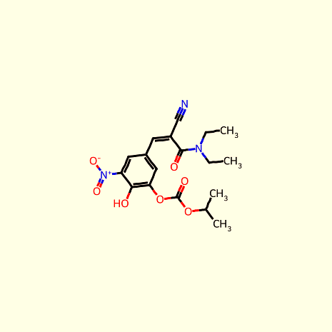 CCN(CC)C(=O)C(C#N)=Cc1cc(OC(=O)OC(C)C)c(O)c([N+](=O)[O-])c1